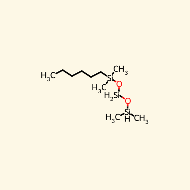 CCCCCC[Si](C)(C)O[SiH2]O[SiH](C)C